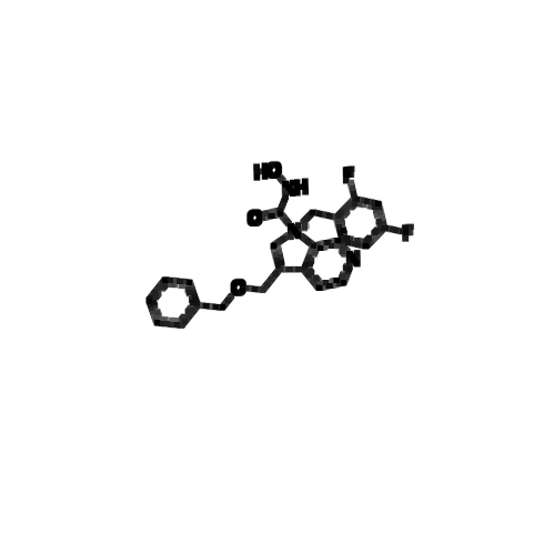 O=C(NO)[N+]1(Cc2ccc(F)cc2F)C=C(COCc2ccccc2)c2ccncc21